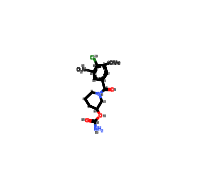 COc1cc(C(=O)N2CCCC(OC(N)=O)C2)cc([N+](=O)[O-])c1Cl